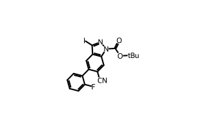 CC(C)(C)OC(=O)n1nc(I)c2cc(-c3ccccc3F)c(C#N)cc21